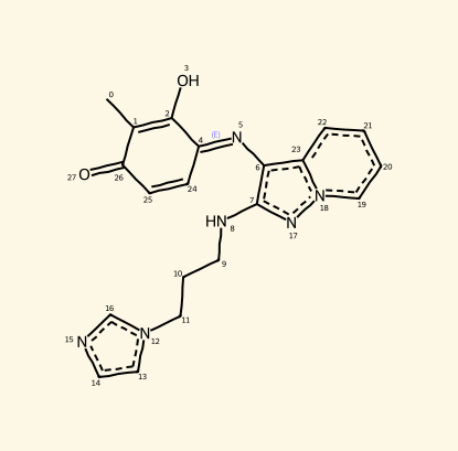 CC1=C(O)/C(=N/c2c(NCCCn3ccnc3)nn3ccccc23)C=CC1=O